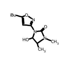 CCC(C)c1cc(N2C(=O)N(C)C(C)C2O)no1